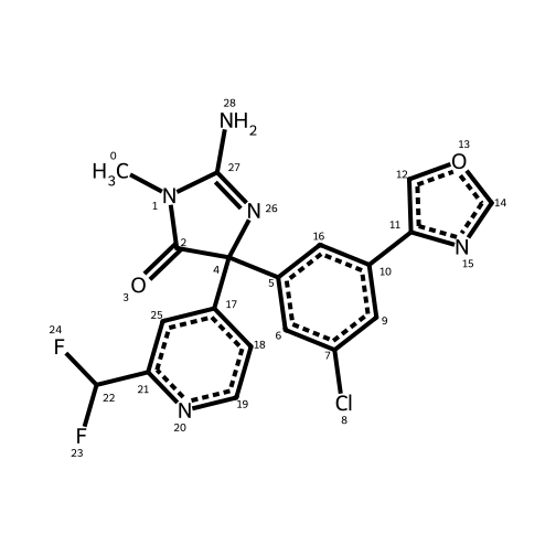 CN1C(=O)C(c2cc(Cl)cc(-c3cocn3)c2)(c2ccnc(C(F)F)c2)N=C1N